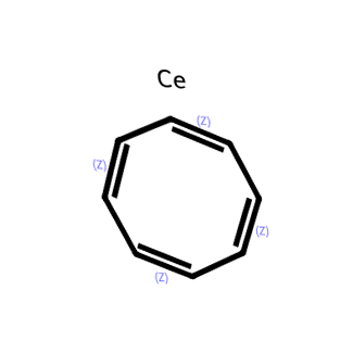 C1=C\C=C/C=C\C=C/1.[Ce]